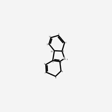 C1=CC2SC3=C(C=CCC3)C2C=C1